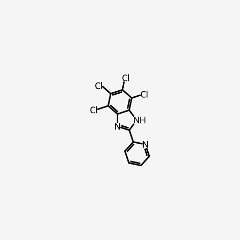 Clc1c(Cl)c(Cl)c2[nH]c(-c3ccccn3)nc2c1Cl